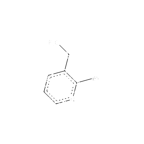 CC(C)c1ncccc1CC(F)(F)F